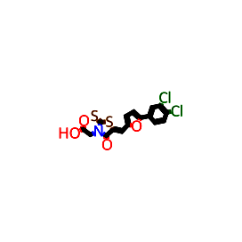 O=C(O)CN1C(=O)C(=Cc2ccc(-c3ccc(Cl)c(Cl)c3)o2)SC1=S